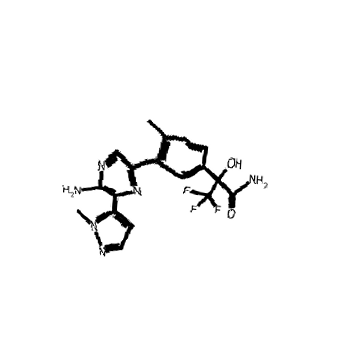 Cc1ccc(C(O)(C(N)=O)C(F)(F)F)cc1-c1cnc(N)c(-c2ccnn2C)n1